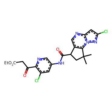 CCOC(=O)CC(=O)c1ncc(NC(=O)C2CC(C)(C)c3c2cnc2cc(Cl)nn32)cc1Cl